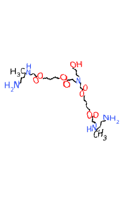 CC(CCCN)NCCC(=O)OCCCCCOC(=O)CCN(CCCCO)CCC(=O)OCCCCCOC(=O)CCNC(C)CCCN